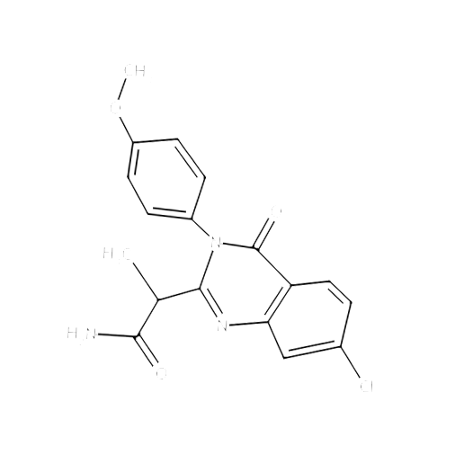 COc1ccc(-n2c(C(C)C(N)=O)nc3cc(Cl)ccc3c2=O)cc1